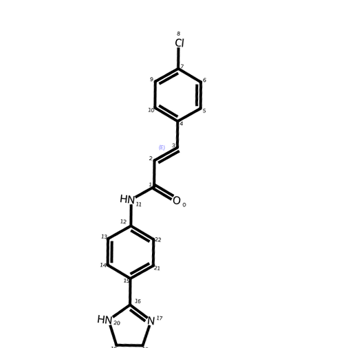 O=C(/C=C/c1ccc(Cl)cc1)Nc1ccc(C2=NCCN2)cc1